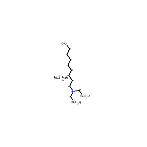 CCCCCCCCCCCCCCCCCCN(CC(=O)O)CC(=O)O.[NaH].[NaH]